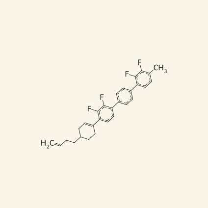 C=CCCC1CC=C(c2ccc(-c3ccc(-c4ccc(C)c(F)c4F)cc3)c(F)c2F)CC1